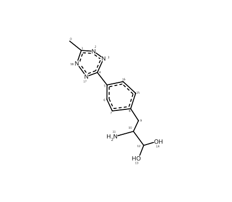 Cc1nnc(-c2ccc(CC(N)C(O)O)cc2)nn1